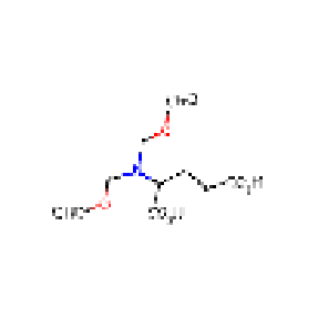 O=COCN(COC=O)C(CCC(=O)O)C(=O)O